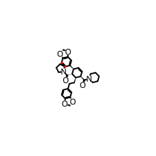 O=C([C@H]1[C@H](CCc2ccc3c(c2)OCO3)[C@H](C(=O)N2CCCCC2)C=C[C@@H]1c1ccc2c(c1)OCO2)N1CCCC1